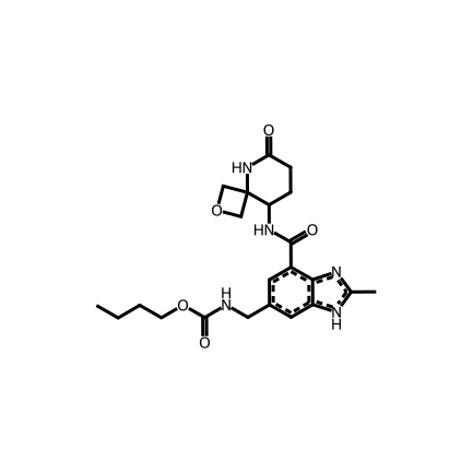 CCCCOC(=O)NCc1cc(C(=O)NC2CCC(=O)NC23COC3)c2nc(C)[nH]c2c1